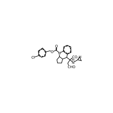 O=CCC(NC1CC1)(C(=O)O)C1c2ccccc2N(C(=O)OCc2ccc(Cl)cc2)C2CCCC21